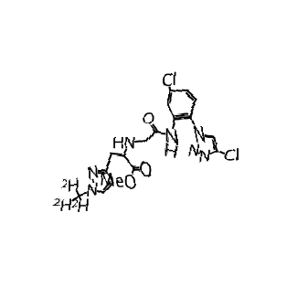 [2H]C([2H])([2H])n1ccc(CC(NCC(=O)Nc2cc(Cl)ccc2-n2cc(Cl)nn2)C(=O)OC)n1